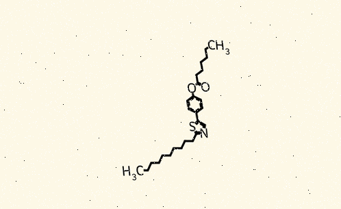 CCCCCCCCCCc1ncc(-c2ccc(OC(=O)CCCCCC)cc2)s1